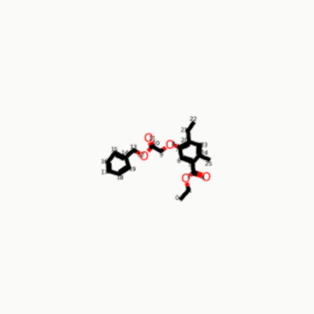 CCOC(=O)c1cc(OCC(=O)OCc2ccccc2)c(CC)cc1C